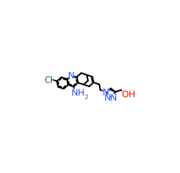 Nc1c2c(nc3cc(Cl)ccc13)CC1C=C(CCn3cc(CO)nn3)CC2C1